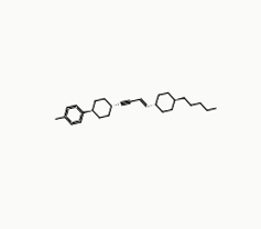 CCCCC[C@H]1CC[C@H](C=CC#C[C@H]2CC[C@H](c3ccc(C)cc3)CC2)CC1